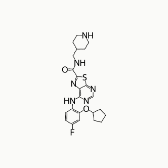 O=C(NCC1CCNCC1)c1nc2c(Nc3ccc(F)cc3OC3CCCC3)ncnc2s1